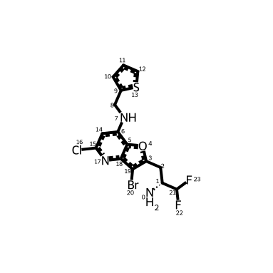 N[C@H](Cc1oc2c(NCc3cccs3)cc(Cl)nc2c1Br)C(F)F